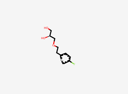 OC[C@H](O)COCCc1ccc(F)cc1